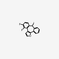 Fc1ccc2c(c1F)-c1ccoc1-c1ccccc1C2I